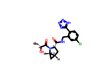 CC(C)(C)[C@@H](O)C(=O)N1[C@H](C(=O)NCc2cc(Cl)ccc2-c2nnn[nH]2)C[C@@H]2C[C@@H]21